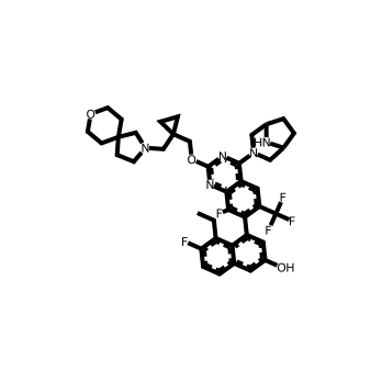 CCc1c(F)ccc2cc(O)cc(-c3c(C(F)(F)F)cc4c(N5CC6CCC(C5)N6)nc(OCC5(CN6CCC7(CCOCC7)C6)CC5)nc4c3F)c12